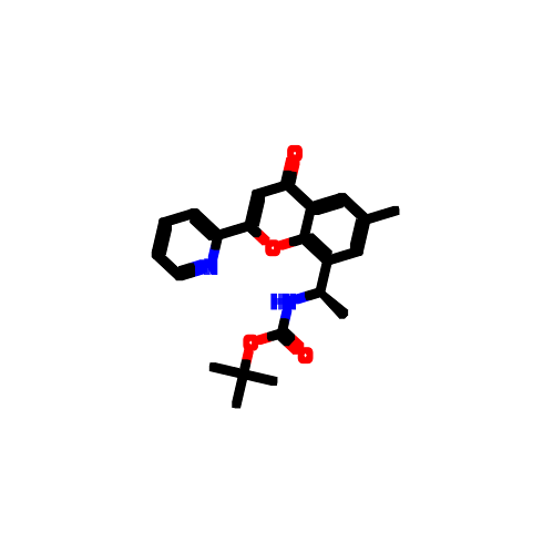 Cc1cc([C@@H](C)NC(=O)OC(C)(C)C)c2oc(-c3ccccn3)cc(=O)c2c1